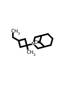 CCC1CC(C)(N2CC3CCCC(C2)C3=O)C1